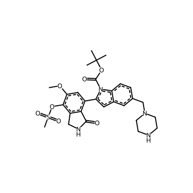 COc1cc(-c2cc3cc(CN4CCNCC4)ccc3n2C(=O)OC(C)(C)C)c2c(c1OS(C)(=O)=O)CNC2=O